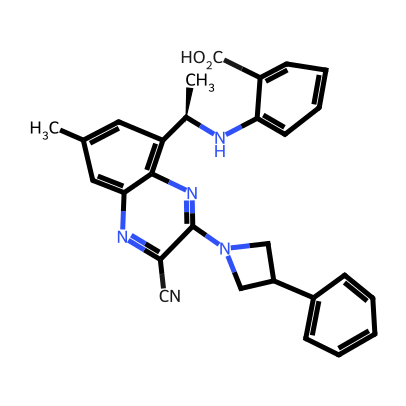 Cc1cc([C@@H](C)Nc2ccccc2C(=O)O)c2nc(N3CC(c4ccccc4)C3)c(C#N)nc2c1